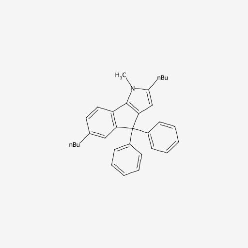 CCCCc1ccc2c(c1)C(c1ccccc1)(c1ccccc1)c1cc(CCCC)n(C)c1-2